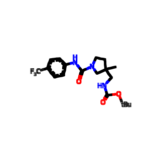 CC1(CNC(=O)OC(C)(C)C)CCN(C(=O)Nc2ccc(C(F)(F)F)cc2)C1